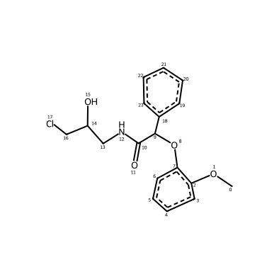 COc1ccccc1OC(C(=O)NCC(O)CCl)c1ccccc1